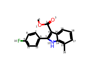 COC(=O)c1c(-c2ccc(F)cc2)[nH]c2c(C)cccc12